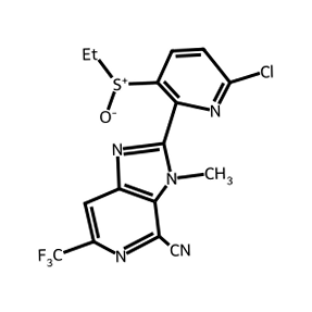 CC[S+]([O-])c1ccc(Cl)nc1-c1nc2cc(C(F)(F)F)nc(C#N)c2n1C